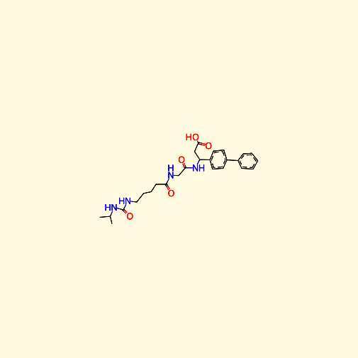 CC(C)NC(=O)NCCCCC(=O)NCC(=O)NC(CC(=O)O)c1ccc(-c2ccccc2)cc1